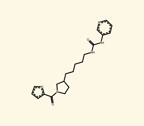 O=C(NCCCCCC1CCN(C(=O)c2ccco2)C1)Nc1cccnc1